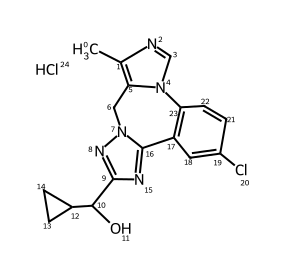 Cc1ncn2c1Cn1nc(C(O)C3CC3)nc1-c1cc(Cl)ccc1-2.Cl